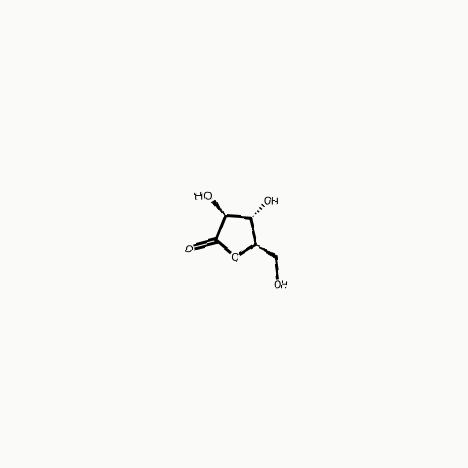 O=C1O[C@H](CO)[C@@H](O)[C@@H]1O